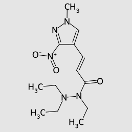 CCN(CC)N(CC)C(=O)C=Cc1cn(C)nc1[N+](=O)[O-]